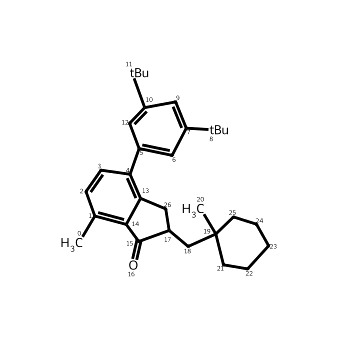 Cc1ccc(-c2cc(C(C)(C)C)cc(C(C)(C)C)c2)c2c1C(=O)C(CC1(C)CCCCC1)C2